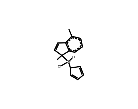 Cc1cccc2c1C=C[C]2(C)[Zr]([Cl])([Cl])[CH]1C=CC=C1